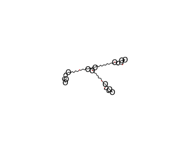 O=c1ccc2ccc(OCCCCCCCCCCOCC(COCCCCCCCCCCOc3ccc4ccc(=O)oc4c3)OCCCCCCCCCCOc3ccc4ccc(=O)oc4c3)cc2o1